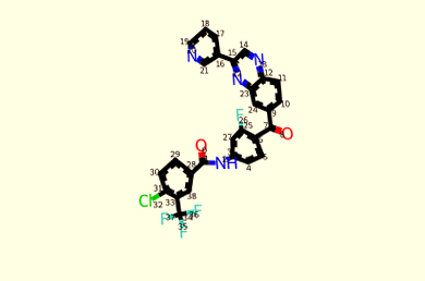 O=C(Nc1ccc(C(=O)c2ccc3ncc(-c4cccnc4)nc3c2)c(F)c1)c1ccc(Cl)c(C(F)(F)F)c1